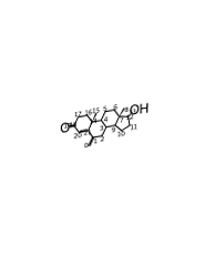 C=C1CC2C(CC[C@@]3(C)C2CC[C@@H]3O)[C@@]2(C)CCC(=O)C=C12